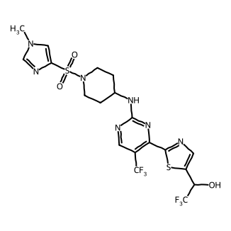 Cn1cnc(S(=O)(=O)N2CCC(Nc3ncc(C(F)(F)F)c(-c4ncc(C(O)C(F)(F)F)s4)n3)CC2)c1